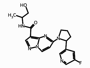 CC(CO)NC(=O)c1cnn2ccc(N3CCCC3c3cncc(F)c3)nc12